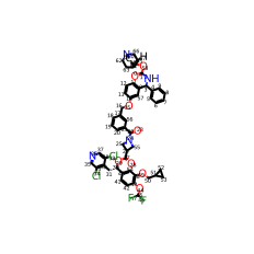 O=C(N[C@@H](c1ccccc1)c1cccc(OCc2cccc(C(=O)N3CC(C(=O)O[C@@H](Cc4c(Cl)cncc4Cl)c4ccc(OC(F)F)c(OCC5CC5)c4)C3)c2)c1)O[C@H]1CN2CCC1CC2